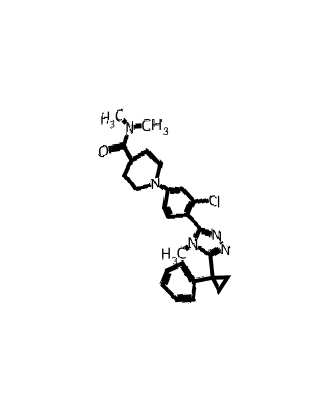 CN(C)C(=O)C1CCN(c2ccc(-c3nnc(C4(c5ccccc5)CC4)n3C)c(Cl)c2)CC1